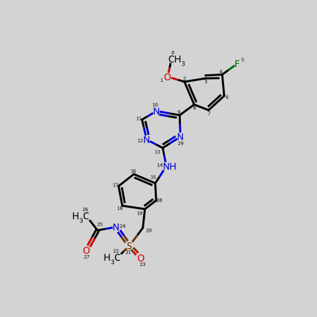 COc1cc(F)ccc1-c1ncnc(Nc2cccc(CS(C)(=O)=NC(C)=O)c2)n1